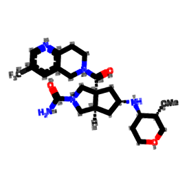 CO[C@@H]1COCC[C@H]1N[C@@H]1C[C@H]2CN(C(N)=O)C[C@@]2(C(=O)N2CCc3ncc(C(F)(F)F)cc3C2)C1